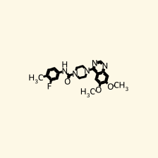 COc1cc2ncnc(N3CCN(C(=O)Nc4ccc(C)c(F)c4)CC3)c2cc1OC